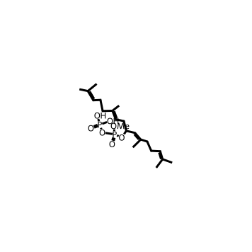 COP(=O)(OC(/C=C(\C)CCC=C(C)C)C/C=C(\C)CCC=C(C)C)OP(=O)(O)O